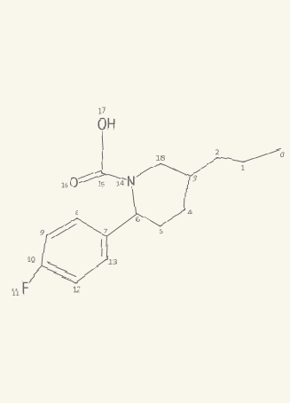 CCCC1CCC(c2ccc(F)cc2)N(C(=O)O)C1